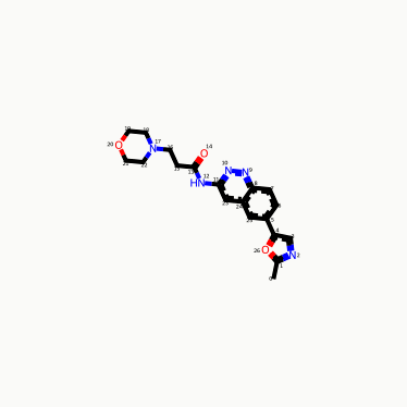 Cc1ncc(-c2ccc3nnc(NC(=O)CCN4CCOCC4)cc3c2)o1